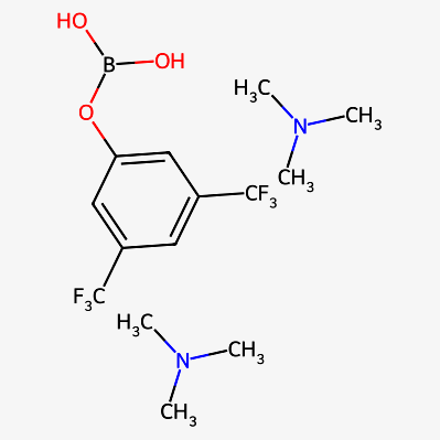 CN(C)C.CN(C)C.OB(O)Oc1cc(C(F)(F)F)cc(C(F)(F)F)c1